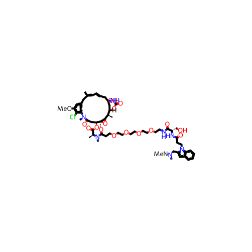 CNN(C)Cc1cc2ccccc2n1CCC(=O)N[C@@H](CO)C(=O)NCCOCCOCCOCCOCCC(=O)N(C)[C@@H](C)C(=O)O[C@H]1CC(=O)N(C)c2cc(cc(OC)c2Cl)C/C(C)=C/C=C/C[C@@]2(O)C[C@H](OC(=O)N2)[C@@H](C)C2O[C@]21C